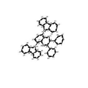 c1ccc(-c2nc3c(-n4c5ccccc5c5ccccc54)ccc(-n4c5ccccc5c5ccccc54)c3nc2-c2ccccc2)cc1